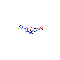 CC(=O)N1CCN(c2c(C)[nH]c3nc(N4CCCC(F)C4)nn3c2=O)CC1